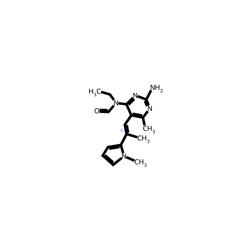 CCN(C=O)c1nc(N)nc(C)c1/C=C(\C)c1cccn1C